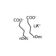 CCCCCCCCCCCCCC(=O)[O-].CCCCCCCCCCCCCC(=O)[O-].[K+].[Li+]